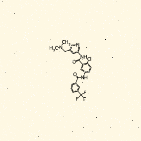 CN(C)Cc1cncc(NC(=O)c2cc(NC(=O)c3cccc(C(F)(F)F)c3)ccc2Cl)c1